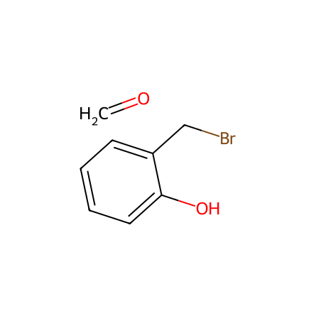 C=O.Oc1ccccc1CBr